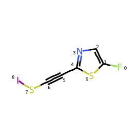 Fc1cnc(C#CSI)s1